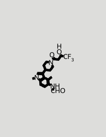 Cc1c(NC=O)ccc2c1c(C1CCN(C(=O)CC(O)C(F)(F)F)CC1)cn2C